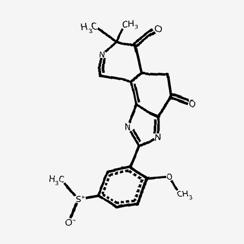 COc1ccc([S+](C)[O-])cc1C1=NC2=C3C=NC(C)(C)C(=O)C3CC(=O)C2=N1